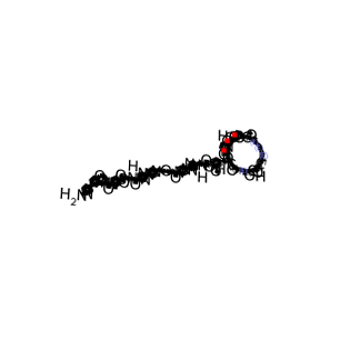 CO[C@H]1CC2CC[C@@H](C)[C@@](O)(O2)C(=O)C(=O)N2CCCC[C@H]2C(=O)O[C@H](CC[C@@H]2CC[C@@H](OC(=O)NCc3cnc(N4CCN(C(=O)CCOCCN5CCN(c6ncc(C(=O)NCCS(=O)(=O)c7ccc(C(=O)N8CCOc9ccc(-c%10ccc(N)nc%10)cc9C8)c(C)c7)cn6)CC5)CC4)nc3)[C@H](OC)C2)C[C@@H](O)[C@H](C)/C=C(\C)[C@@H](O)CC(=O)[C@H](C)C[C@H](C)/C=C/C=C/C=C/1C